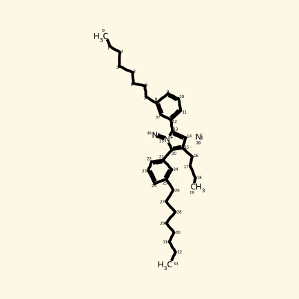 CCCCCCCCc1cccc(C2=CC(CCCC)=C(c3cccc(CCCCCCCC)c3)[N+]2=[N-])c1.[Ni]